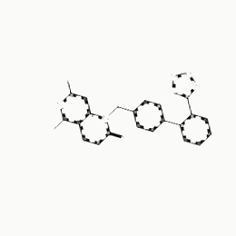 CCc1cc2c(ccc(=O)n2Cc2ccc(-c3ccccc3-c3nnn[nH]3)cc2)c(CC)n1